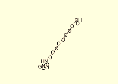 O=C(O)CCOCCOCCOCCOCCOCCOCCOCCOCCNC(=O)CN1C(=O)C=CC1=O